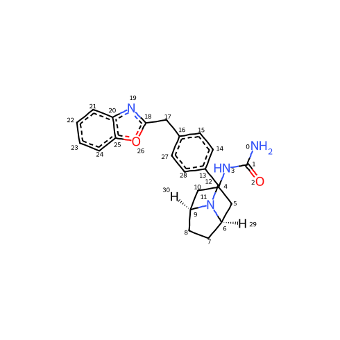 NC(=O)NC1C[C@H]2CC[C@@H](C1)N2Cc1ccc(Cc2nc3ccccc3o2)cc1